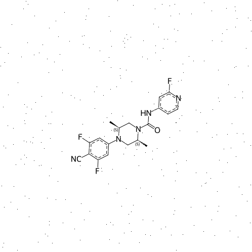 C[C@H]1CN(c2cc(F)c(C#N)c(F)c2)[C@@H](C)CN1C(=O)Nc1ccnc(F)c1